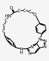 O=C1CCCOc2ccc(cc2)-n2nnc3cnc(nc32)Nc2ccc(cc2)CCCN1